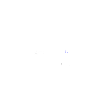 CC(=O)OCC1=C(C)N=CC1